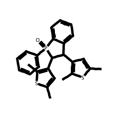 Cc1cc(C2c3ccccc3P(=O)(c3ccccc3)C2c2cc(C)sc2C)c(C)s1